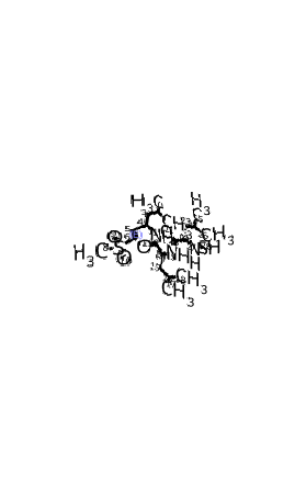 CC(C)CC(/C=C/S(C)(=O)=O)NC(=O)[C@H](CC(C)C)NC(=O)[C@H](CC(C)C)NS